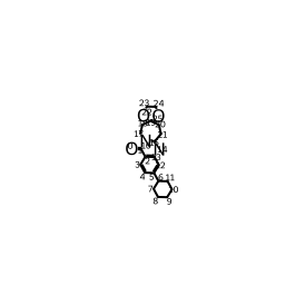 O=c1c2ccc(C3CCCCC3)cc2nc2n1CCC1(CC2)OCCO1